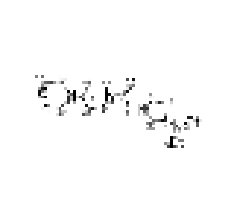 CCN(CC)C1CCN(CC(=O)N2CCC(N3CCCCC3)CC2)C1